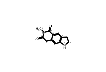 CN1C(=O)Cc2cc3c(cc2C1=O)CCN3